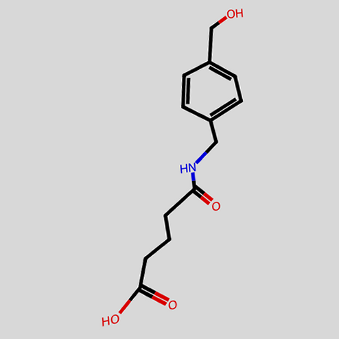 O=C(O)CCCC(=O)NCc1ccc(CO)cc1